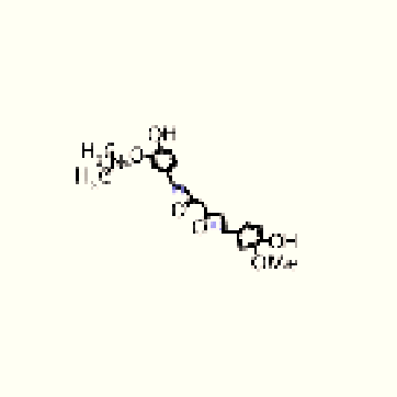 COc1cc(/C=C/C(=O)CC(=O)/C=C/c2ccc(O)c(OCN(C)C)c2)ccc1O